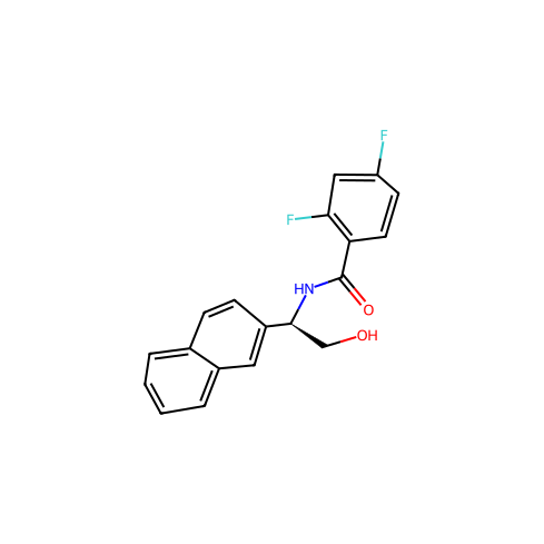 O=C(N[C@@H](CO)c1ccc2ccccc2c1)c1ccc(F)cc1F